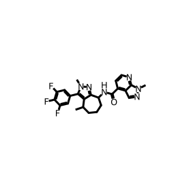 CC1CCCC(NC(=O)c2ccnc3c2cnn3C)c2nn(C)c(-c3cc(F)c(F)c(F)c3)c21